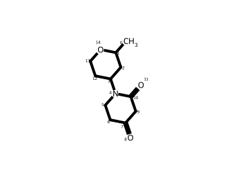 CC1CC(N2CCC(=O)CC2=O)CCO1